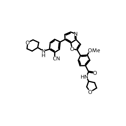 COc1cc(C(=O)NC2CCOC2)ccc1-c1cc2nccc(-c3ccc(NC4CCOCC4)c(C#N)c3)c2o1